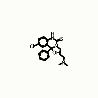 CN(C)CCCN1C(=S)Nc2ccc(Cl)cc2C1(O)c1ccccc1